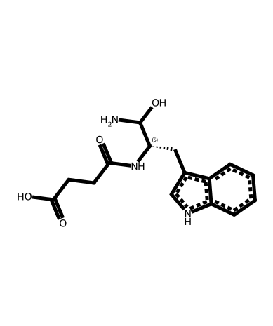 NC(O)[C@H](Cc1c[nH]c2ccccc12)NC(=O)CCC(=O)O